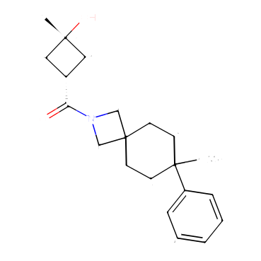 COC1(c2ccccc2)CCC2(CC1)CN(C(=O)[C@H]1C[C@@](C)(O)C1)C2